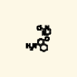 Nc1ccc(Oc2ccnc(Cl)n2)c2c1CCCC2